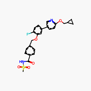 CS(=O)(=O)NC(=O)c1ccc(COc2cc(-c3ccc(OCC4CC4)nc3)ccc2F)cc1